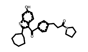 O=C(c1ccc(CCC(=O)N2CCCC2)cc1)c1c(C2CCCCCC2)sc2cc(O)ccc12